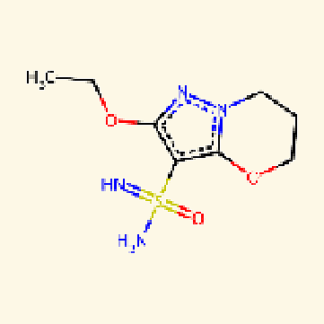 CCOc1nn2c(c1S(=N)(N)=O)OCCC2